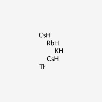 [CsH].[CsH].[KH].[RbH].[Tl]